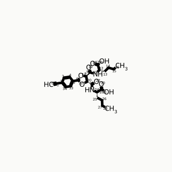 C#Cc1ccc(C2O[C@@H](C(=O)N[C@@H](CCCC)C(=O)O)[C@H](C(=O)N[C@@H](CCCC)C(=O)O)O2)cc1